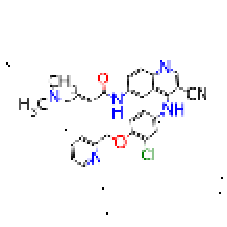 CN(C)CC=CC(=O)Nc1ccc2ncc(C#N)c(Nc3ccc(OCc4ccccn4)c(Cl)c3)c2c1